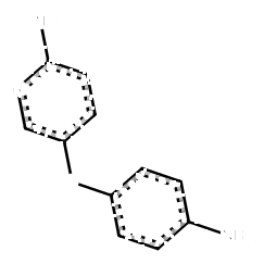 Nc1ccc(Sc2ccc([N+](=O)[O-])nc2)cc1